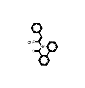 O=C/C(=C\c1ccccc1)NC(=O)c1ccccc1-c1ccccc1